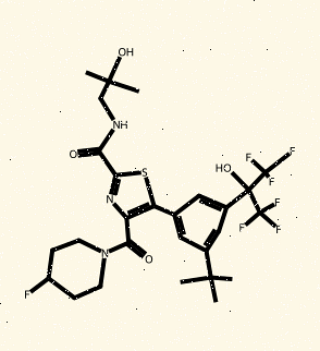 CC(C)(O)CNC(=O)c1nc(C(=O)N2CCC(F)CC2)c(-c2cc(C(C)(C)C)cc(C(O)(C(F)(F)F)C(F)(F)F)c2)s1